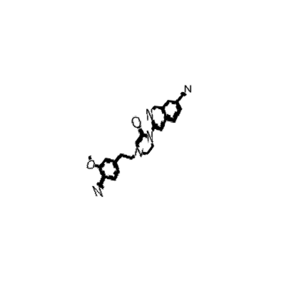 COc1cc(CCN2CCN(c3cc4ccc(C#N)cc4cn3)C(=O)C2)ccc1C#N